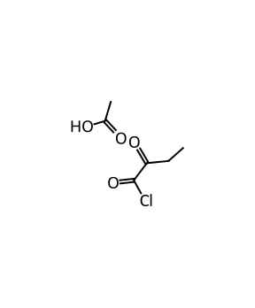 CC(=O)O.CCC(=O)C(=O)Cl